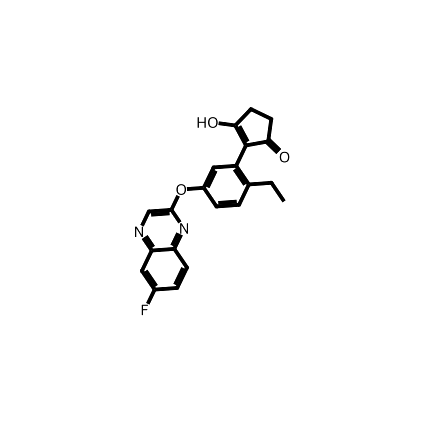 CCc1ccc(Oc2cnc3cc(F)ccc3n2)cc1C1=C(O)CCC1=O